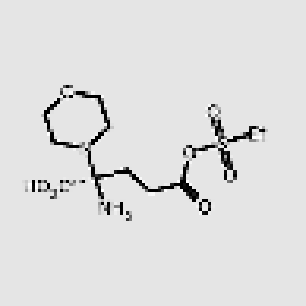 CCS(=O)(=O)OC(=O)CC[C@](N)(C(=O)O)N1CCOCC1